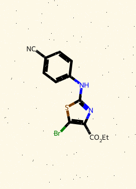 CCOC(=O)c1nc(Nc2ccc(C#N)cc2)sc1Br